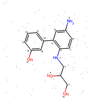 Nc1ccc(NCC(O)CO)c(-c2cccc(O)c2)c1